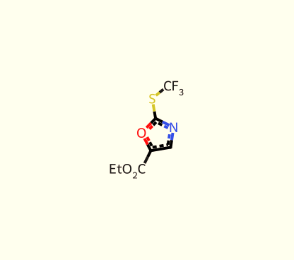 CCOC(=O)c1cnc(SC(F)(F)F)o1